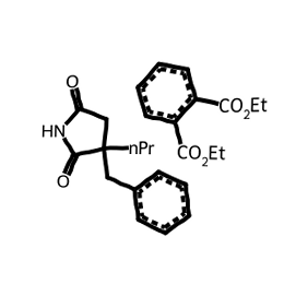 CCCC1(Cc2ccccc2)CC(=O)NC1=O.CCOC(=O)c1ccccc1C(=O)OCC